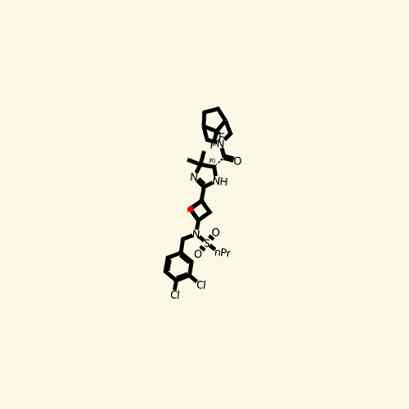 CCCS(=O)(=O)N(Cc1ccc(Cl)c(Cl)c1)C12CC(C3=NC(C)(C)[C@H](C(=O)N4CC5CCC(C4)C5(F)F)N3)(C1)C2